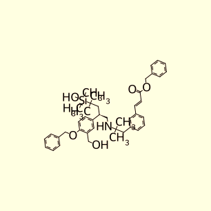 CC(C)(Cc1cccc(/C=C/C(=O)OCc2ccccc2)c1)NC[C@H](CC(C)(C)[Si](C)(C)O)c1ccc(OCc2ccccc2)c(CO)c1